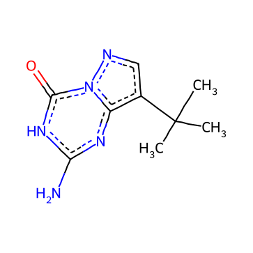 CC(C)(C)c1cnn2c(=O)[nH]c(N)nc12